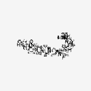 Cn1c(=O)n(C2CCC(=O)NC2=O)c2cccc(N3CCN(C4CCN([C@H]5CC[C@@H](n6cc(NC(=O)c7cnn8ccc(N9C[C@H]%10C[C@@H]9CO%10)nc78)c(C(F)F)n6)CC5)CC4)CC3)c21